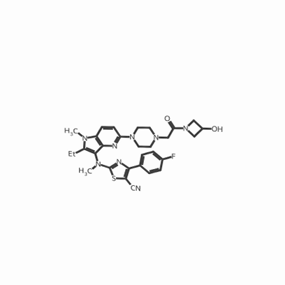 CCc1c(N(C)c2nc(-c3ccc(F)cc3)c(C#N)s2)c2nc(N3CCN(CC(=O)N4CC(O)C4)CC3)ccc2n1C